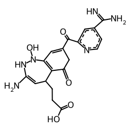 N=C(N)c1ccnc(C(=O)C2=CC3=C(C(=O)C2)C(CCC(=O)O)C=C(N)NN3O)c1